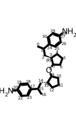 CC(C[C@H]1CCCC1OC1CCC[C@@H]1CC(C)c1ccc(N)cc1)c1ccc(N)cc1